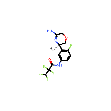 C[C@@]1(c2cc(NC(=O)C(F)(F)C(F)F)ccc2F)COCC(N)=N1